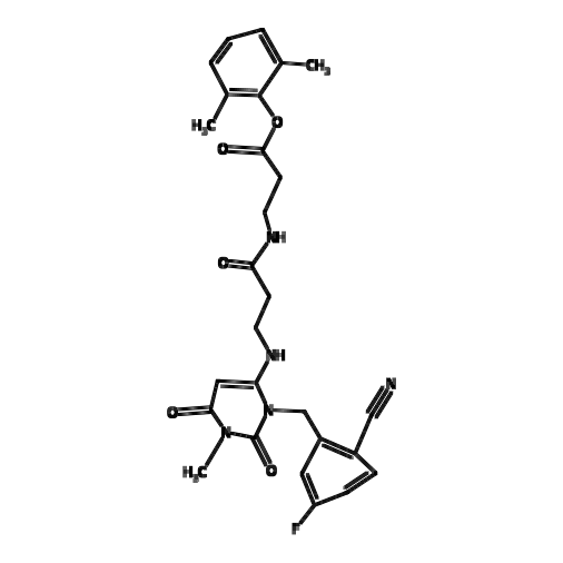 Cc1cccc(C)c1OC(=O)CCNC(=O)CCNc1cc(=O)n(C)c(=O)n1Cc1cc(F)ccc1C#N